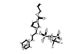 C=CCOC(=O)N1C=CN(CCC[N+]23CCN(CC2)CC3)C1.O=S(=O)(O)C(F)(F)F.O=S(=O)([O-])C(F)(F)F